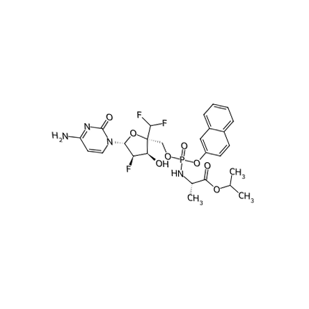 CC(C)OC(=O)[C@H](C)NP(=O)(OC[C@@]1(C(F)F)O[C@@H](n2ccc(N)nc2=O)[C@H](F)[C@@H]1O)Oc1ccc2ccccc2c1